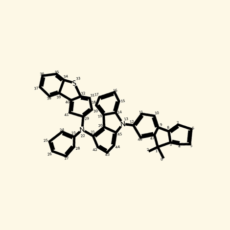 CC1(C)c2ccccc2-c2ccc(-n3c4ccccc4c4c(N(c5ccccc5)c5ccc6sc7ccccc7c6c5)cccc43)cc21